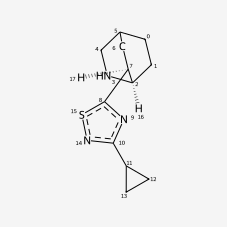 C1C[C@H]2NCC1C[C@@H]2c1nc(C2CC2)ns1